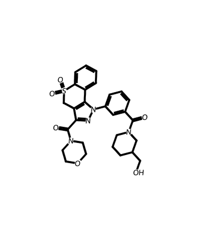 O=C(c1cccc(-n2nc(C(=O)N3CCOCC3)c3c2-c2ccccc2S(=O)(=O)C3)c1)N1CCCC(CO)C1